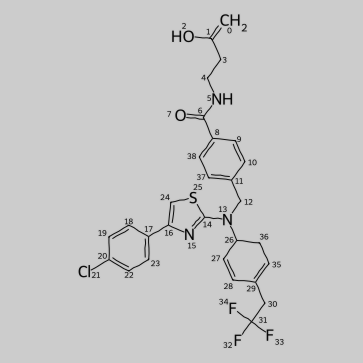 C=C(O)CCNC(=O)c1ccc(CN(c2nc(-c3ccc(Cl)cc3)cs2)C2C=CC(CC(F)(F)F)=CC2)cc1